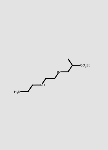 CCOC(=O)C(C)CNCCNCCN